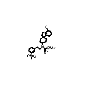 COC(=O)N(CCc1cccc(S(C)(=O)=O)c1)C1CCC(CN)(c2cccc(Cl)c2)CC1.Cl